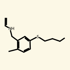 C=CNCc1cc(SCCCC)ccc1C